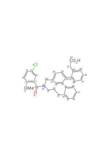 COc1ccc(Cl)cc1C(=O)N(CCCc1ccccc1)Cc1ccc(-c2ccccc2CC(=O)O)cc1